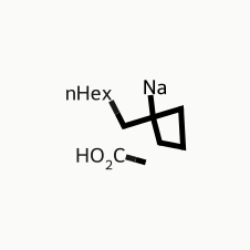 CC(=O)O.CCCCCCC[C]1([Na])CCC1